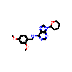 COc1ccc(CNc2ncnc3c2ncn3C2CCCCO2)c(OC)c1